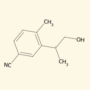 C[C](CO)c1cc(C#N)ccc1C